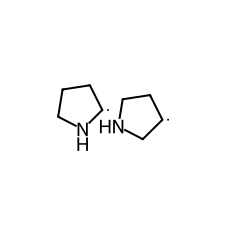 [CH]1CCCN1.[CH]1CCNC1